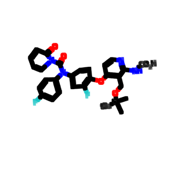 CC(C)(C)[Si](C)(C)OCc1c(Oc2ccc(N(C(=O)n3ccccc3=O)c3ccc(F)cc3)cc2F)ccnc1NC(=O)O